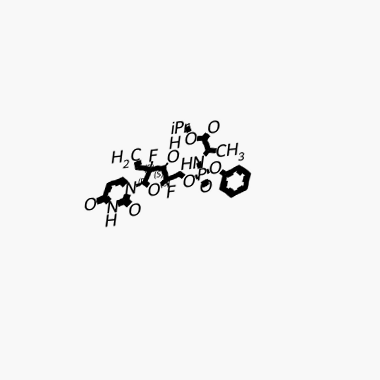 C=C[C@]1(F)[C@H](n2ccc(=O)[nH]c2=O)O[C@](F)(COP(=O)(NC(C)C(=O)OC(C)C)Oc2ccccc2)[C@H]1O